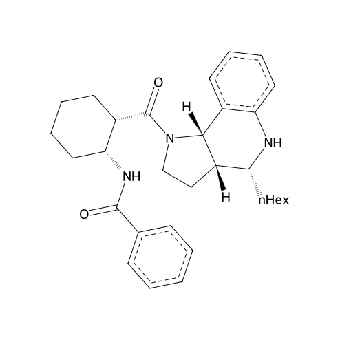 CCCCCC[C@H]1Nc2ccccc2[C@@H]2[C@H]1CCN2C(=O)[C@H]1CCCC[C@H]1NC(=O)c1ccccc1